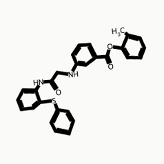 Cc1ccccc1OC(=O)c1cccc(NCC(=O)Nc2ccccc2Sc2ccccc2)c1